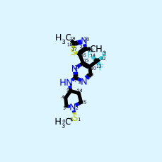 CSN1CCC(Nc2ncc(C(F)(F)F)c(-c3sc(C)nc3C)n2)CC1